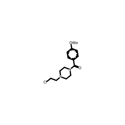 COc1ccc(C(=O)N2CCN(CCCl)CC2)cc1